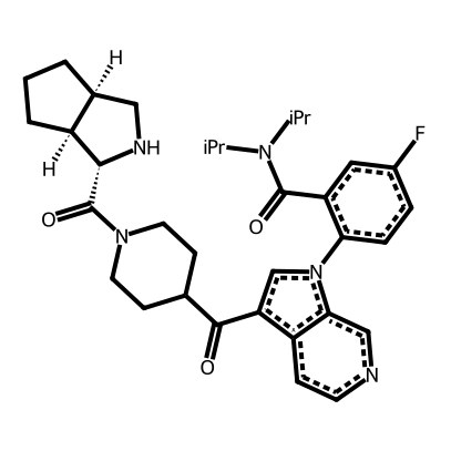 CC(C)N(C(=O)c1cc(F)ccc1-n1cc(C(=O)C2CCN(C(=O)[C@H]3NC[C@@H]4CCC[C@@H]43)CC2)c2ccncc21)C(C)C